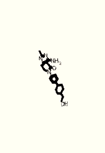 Cc1nc(N)c2c(n1)CCN(c1ccc(C3CCC(CCO)CC3)cc1)C2=O